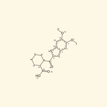 COc1cc2cc(C(=O)C3CCCCC3C(=O)O)sc2cc1OC